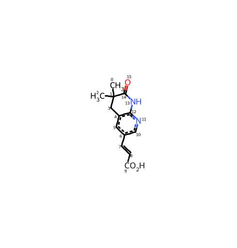 CC1(C)Cc2cc(/C=C/C(=O)O)cnc2NC1=O